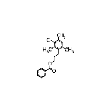 Cc1cc(C)c(CCCOC(=O)c2ccccc2)c(C)c1Cl